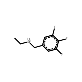 CC[SiH2]Cc1cc(F)c(F)c(F)c1